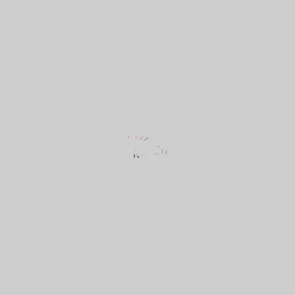 O=[CH][Zn].[Pt].[Re]